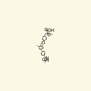 CCO[C@@H](Cc1ccc(OCc2sc(-c3ccc(-c4nnc(C)o4)cc3)cc2C)cc1)C(=O)O